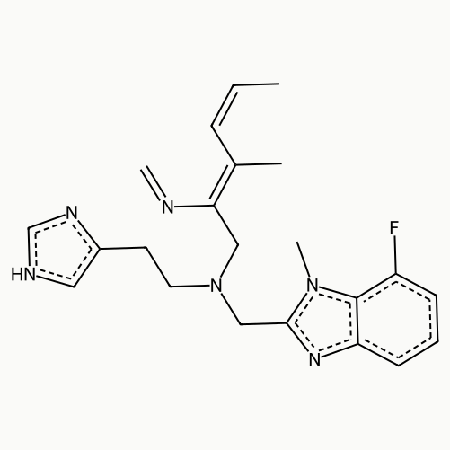 C=N/C(CN(CCc1c[nH]cn1)Cc1nc2cccc(F)c2n1C)=C(C)\C=C/C